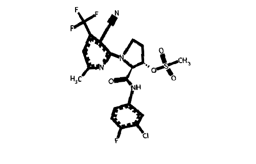 Cc1cc(C(F)(F)F)c(C#N)c(N2CC[C@H](OS(C)(=O)=O)[C@H]2C(=O)Nc2ccc(F)c(Cl)c2)n1